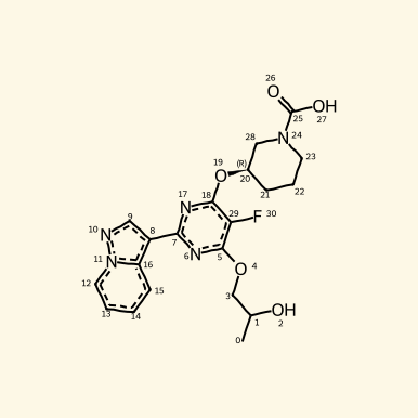 CC(O)COc1nc(-c2cnn3ccccc23)nc(O[C@@H]2CCCN(C(=O)O)C2)c1F